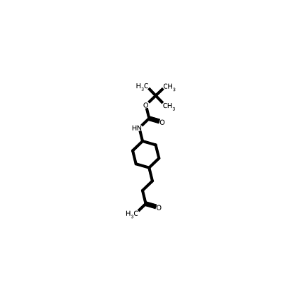 CC(=O)CCC1CCC(NC(=O)OC(C)(C)C)CC1